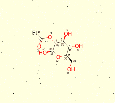 CCC(=O)O[C@@H]1[C@@H](O)[C@H](O)[C@@H](CO)O[C@H]1O